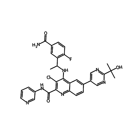 CC(Nc1c(Cl)c(C(=O)Nc2cccnc2)nc2ccc(-c3cnc(C(C)(C)O)nc3)cc12)c1cc(C(N)=O)ccc1F